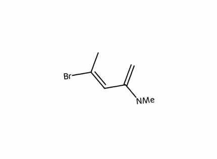 C=C(/C=C(\C)Br)NC